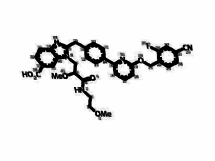 COCCNC(=O)C(Cn1c(Cc2ccc(-c3cccc(OCc4ccc(C#N)cc4F)n3)cc2)nc2ccc(C(=O)O)cc21)OC